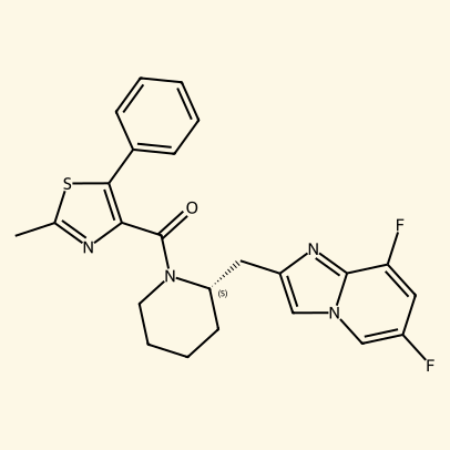 Cc1nc(C(=O)N2CCCC[C@H]2Cc2cn3cc(F)cc(F)c3n2)c(-c2ccccc2)s1